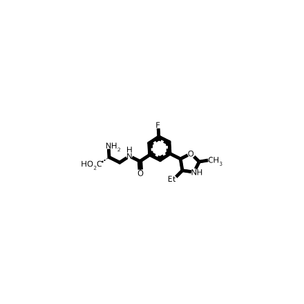 CCC1NC(C)OC1c1cc(F)cc(C(=O)NC[C@@H](N)C(=O)O)c1